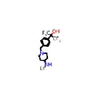 CCNC1CCN(Cc2ccc(C(O)(C(F)(F)F)C(F)(F)F)cc2)CC1